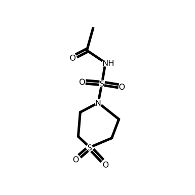 CC(=O)NS(=O)(=O)N1CCS(=O)(=O)CC1